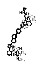 COC(=O)NN(C(=O)C1CCCCC1c1ncc(-c2ccc3cc(-c4ccc(-c5cnc(C6CCCCN6C(=O)N(CC(=O)NC6CC6)C(C)C)[nH]5)cc4)ccc3c2)[nH]1)C(C)C